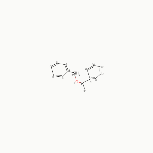 CC(O[SiH2]c1ccccc1)c1ccccc1